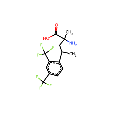 CC(CC(C)(N)C(=O)O)c1ccc(C(F)(F)F)cc1C(F)(F)F